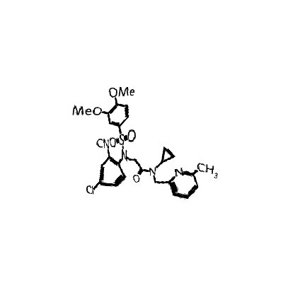 COc1ccc(S(=O)(=O)N(CC(=O)N(Cc2cccc(C)n2)C2CC2)c2ccc(Cl)cc2C#N)cc1OC